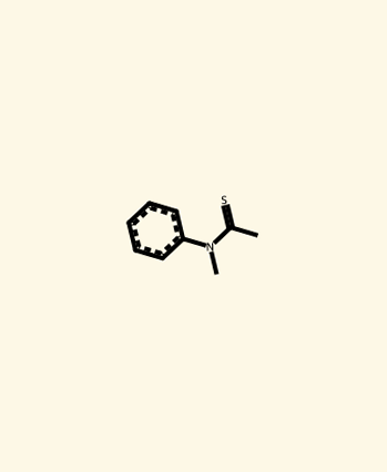 CC(=S)N(C)c1ccccc1